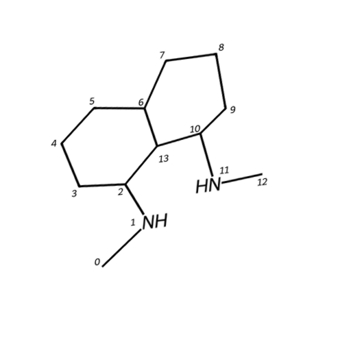 CNC1CCCC2CCCC(NC)C21